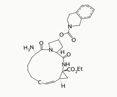 CCOC(=O)[C@@]12C[C@H]1C=CCCCCC[C@H](N)C(=O)N1C[C@H](OC(=O)N3CCc4ccccc4C3)C[C@H]1C(=O)N2